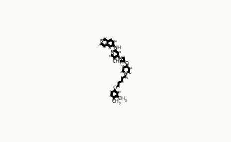 Cc1ccc(OCCCCCN2CCC(OC3CN(c4cc(Nc5ccc6cnccc6c5)ncc4C)C3)CC2)cc1C